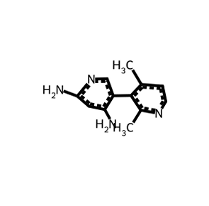 Cc1ccnc(C)c1-c1cnc(N)cc1N